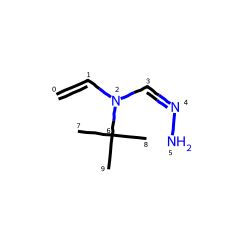 C=CN(/C=N\N)C(C)(C)C